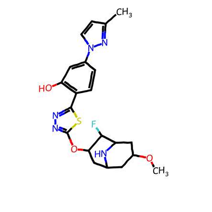 COC1CC2CC(Oc3nnc(-c4ccc(-n5ccc(C)n5)cc4O)s3)C(F)C(C1)N2